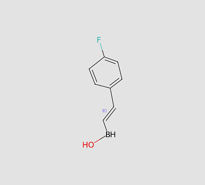 OB/C=C/c1ccc(F)cc1